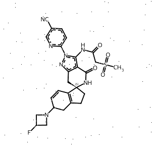 CS(=O)(=O)CC(=O)Nc1c2c(nn1-c1ccc(C#N)cn1)C[C@]1(CCC3=C1C=CC(N1CC(F)C1)C3)NC2=O